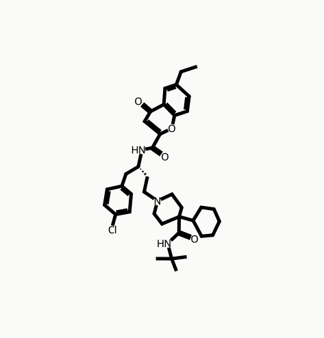 CCc1ccc2oc(C(=O)N[C@H](CCN3CCC(C(=O)NC(C)(C)C)(C4CCCCC4)CC3)Cc3ccc(Cl)cc3)cc(=O)c2c1